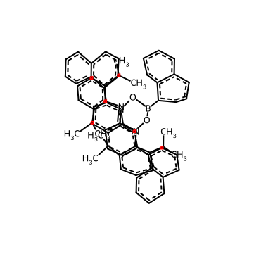 CC(C)c1cccc(C(C)C)c1N=c1cccc(-c2cccc3ccccc23)n1OB(On1c(-c2cccc3ccccc23)cccc1=Nc1c(C(C)C)cccc1C(C)C)c1cccc2ccccc12